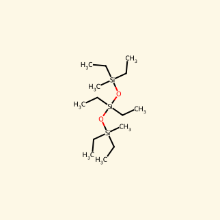 CC[Si](C)(CC)O[Si](CC)(CC)O[Si](C)(CC)CC